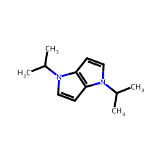 CC(C)n1ccc2c1ccn2C(C)C